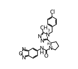 Cc1nnc([C@H]2CCCN2C(=O)Nc2ccc3nonc3c2)n1Cc1ccc(Cl)cc1